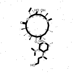 CC[C@H]1OC(=O)[C@H](C)[C@@H](C)[C@H](C)[C@@H](O[C@@H]2O[C@H](C)C[C@@H](N(C)CCO)[C@@H]2N(C)C)[C@](C)(O)C[C@@H](C)CN(C)[C@H](C)[C@@H](O)[C@]1(C)O